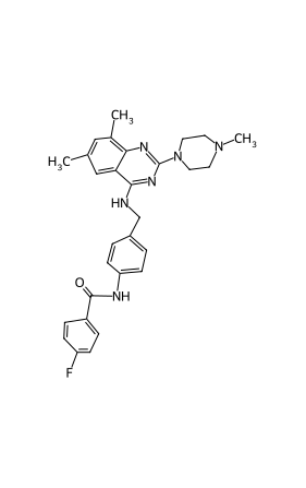 Cc1cc(C)c2nc(N3CCN(C)CC3)nc(NCc3ccc(NC(=O)c4ccc(F)cc4)cc3)c2c1